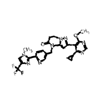 COc1ncnc(C2CC2)c1-c1cc2n(n1)CCC(=O)N2Cc1ccc(-c2nc(C(F)(F)F)cn2C)nc1